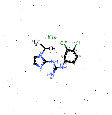 CC(C)n1ccnc1NC(=N)Nc1ccc(Cl)c(Cl)c1.Cl